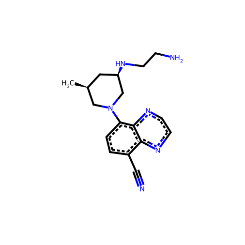 C[C@H]1C[C@@H](NCCN)CN(c2ccc(C#N)c3nccnc23)C1